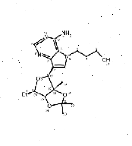 CC[C@H]1O[C@@H](c2cn(CCCO)c3c(N)ncnc23)[C@]2(C)OC(C)(C)OC12